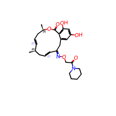 C[C@@H]1C/C=C/[C@H](C)C/C=C/C(=NOCC(=O)N2CCCCC2)Cc2cc(O)cc(O)c2C(=O)O1